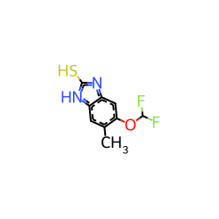 Cc1cc2[nH]c(S)nc2cc1OC(F)F